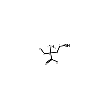 C=C(C)C(N)(CC)CCS